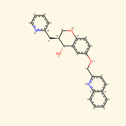 O[C@H]1c2cc(OCc3ccc4ccccc4n3)ccc2OC[C@@H]1Cc1ccccn1